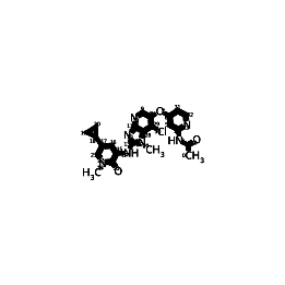 CC(=O)Nc1cc(Oc2cnc3nc(Nc4cc(C5CC5)cn(C)c4=O)n(C)c3c2Cl)ccn1